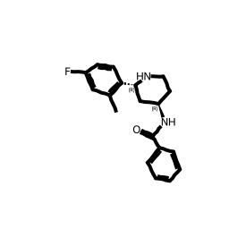 Cc1cc(F)ccc1[C@H]1C[C@H](NC(=O)c2ccccc2)CCN1